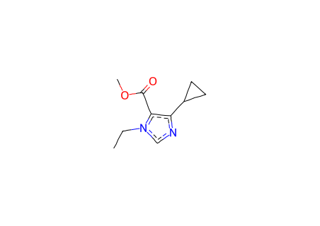 CCn1cnc(C2CC2)c1C(=O)OC